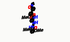 COc1ccc(-c2cccc(C(=O)N3CCC3)c2)cc1S(=O)(=O)Nc1cccc(NCCNC(=O)c2c(OC)cccc2OC)c1